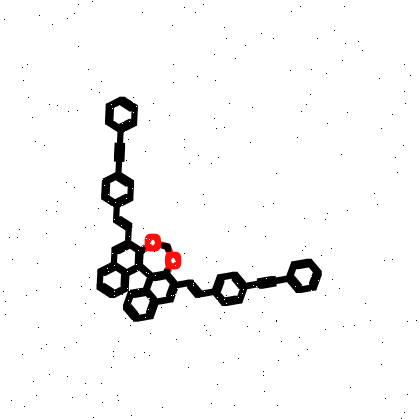 C(#Cc1ccc(/C=C/c2cc3ccccc3c3c2OCOc2c(/C=C/c4ccc(C#Cc5ccccc5)cc4)cc4ccccc4c2-3)cc1)c1ccccc1